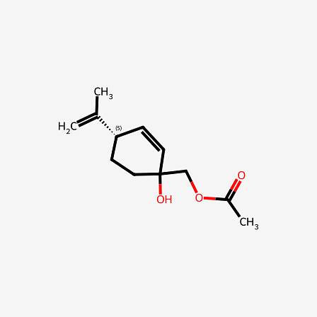 C=C(C)[C@@H]1C=CC(O)(COC(C)=O)CC1